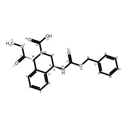 COC(=O)[C@H]1c2ccccc2[C@H](NC(=O)OCc2ccccc2)CN1C(=O)O